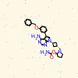 NC(=O)O[C@@H]1CCCN1C[C@H]1C[C@@H](n2cc(-c3cccc(OCc4ccccc4)c3)c3c(N)ncnc32)C1